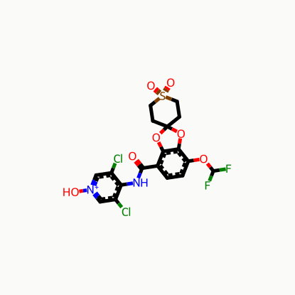 O=C(Nc1c(Cl)c[n+](O)cc1Cl)c1ccc(OC(F)F)c2c1OC1(CCS(=O)(=O)CC1)O2